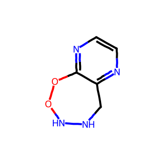 c1cnc2c(n1)CNNOO2